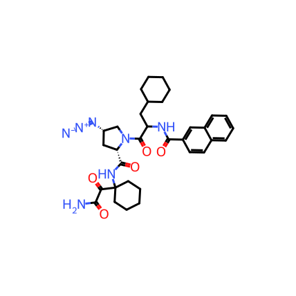 [N-]=[N+]=N[C@H]1C[C@@H](C(=O)NC2(C(=O)C(N)=O)CCCCC2)N(C(=O)C(CC2CCCCC2)NC(=O)c2ccc3ccccc3c2)C1